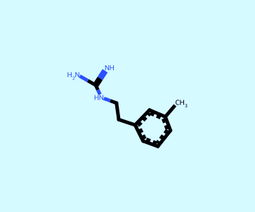 Cc1cccc(CCNC(=N)N)c1